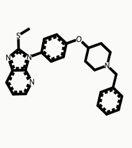 CSc1nc2cccnc2n1-c1ccc(OC2CCN(Cc3ccccc3)CC2)cc1